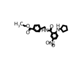 CCOC(=O)c1ccc(CNC(=O)c2cc([N+](=O)[O-])ccc2NC2CCCC2)cc1